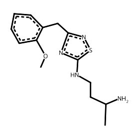 COc1ccccc1Cc1nsc(NCCC(C)N)n1